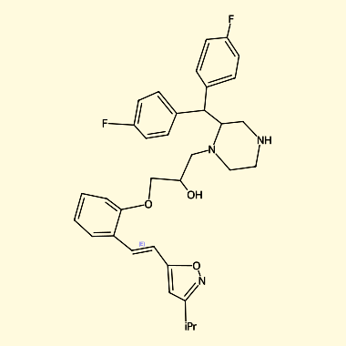 CC(C)c1cc(/C=C/c2ccccc2OCC(O)CN2CCNCC2C(c2ccc(F)cc2)c2ccc(F)cc2)on1